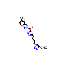 O=Cc1cn(CCCCc2nnc(C(=O)NCc3cc(C(F)(F)F)ccn3)s2)nn1